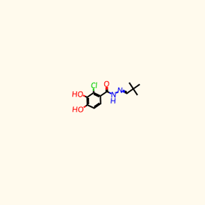 CC(C)(C)/C=N/NC(=O)c1ccc(O)c(O)c1Cl